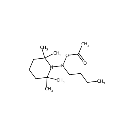 CCCCN(OC(C)=O)N1C(C)(C)CCCC1(C)C